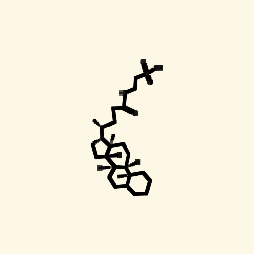 C[C@H](CCC(=O)NCCS(=O)(=O)O)[C@H]1CC[C@H]2[C@@H]3CCC4CCCC[C@]4(C)[C@@H]3CC[C@]12C